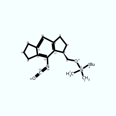 CC(C)(C)[Si](C)(C)OC[C@@H]1CCc2cc3c(c(N=C=O)c21)CCC3